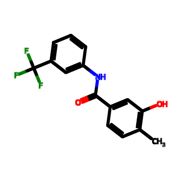 Cc1ccc(C(=O)Nc2cccc(C(F)(F)F)c2)cc1O